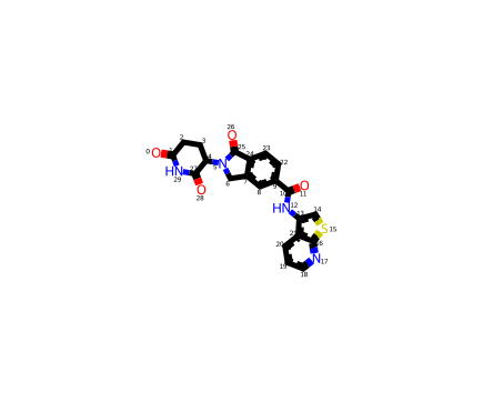 O=C1CCC(N2Cc3cc(C(=O)Nc4csc5ncccc45)ccc3C2=O)C(=O)N1